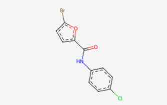 O=C(Nc1ccc(Cl)cc1)c1ccc(Br)o1